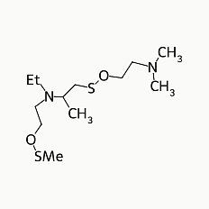 CCN(CCOSC)C(C)CSOCCN(C)C